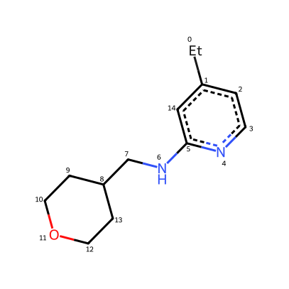 CCc1ccnc(NCC2CCOCC2)c1